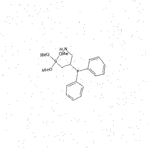 CO[Si](CC(CN)P(c1ccccc1)c1ccccc1)(OC)OC